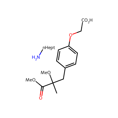 CCCCCCCN.COC(=O)C(C)(Cc1ccc(OCC(=O)O)cc1)OC